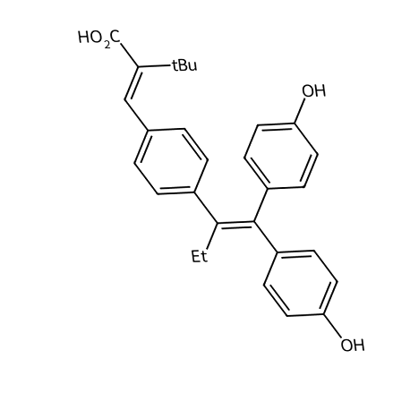 CCC(=C(c1ccc(O)cc1)c1ccc(O)cc1)c1ccc(C=C(C(=O)O)C(C)(C)C)cc1